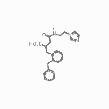 CN(CCn1ccnc1)C(=O)CC(Cc1ccccc1Cc1ccccc1)C(=O)O